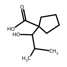 CC(C)C(O)C1(C(=O)O)CCCC1